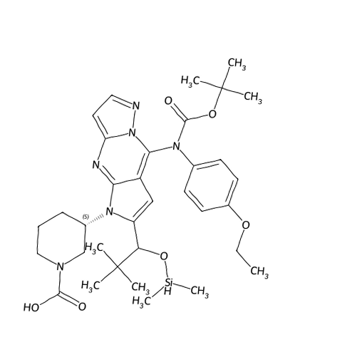 CCOc1ccc(N(C(=O)OC(C)(C)C)c2c3cc(C(O[SiH](C)C)C(C)(C)C)n([C@H]4CCCN(C(=O)O)C4)c3nc3ccnn23)cc1